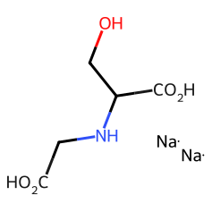 O=C(O)CNC(CO)C(=O)O.[Na].[Na]